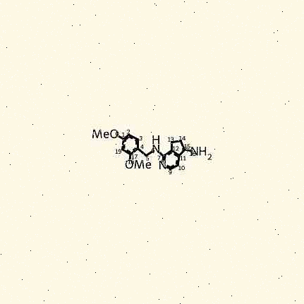 COc1ccc(CNc2nccc3c2CC[C@H]3N)c(OC)c1